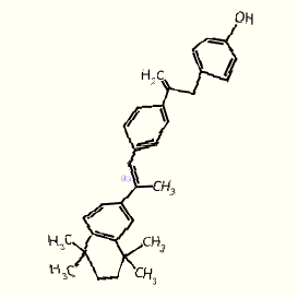 C=C(Cc1ccc(O)cc1)c1ccc(/C=C(\C)c2ccc3c(c2)C(C)(C)CCC3(C)C)cc1